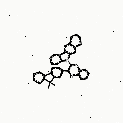 CC1(C)c2ccccc2-c2ccc(-c3nc4ccccc4nc3-n3c4ccccc4c4cc5ccccc5cc43)cc21